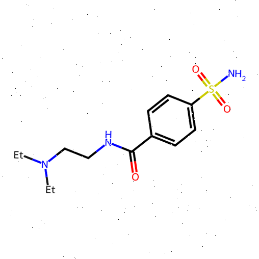 CCN(CC)CCNC(=O)c1ccc(S(N)(=O)=O)cc1